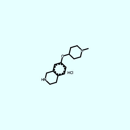 CN1CCC(Oc2ccc3c(c2)CNCC3)CC1.Cl